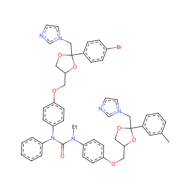 CCN(C(=O)N(c1ccccc1)c1ccc(OCC2COC(Cn3ccnc3)(c3ccc(Br)cc3)O2)cc1)c1ccc(OCC2COC(Cn3ccnc3)(c3cccc(C)c3)O2)cc1